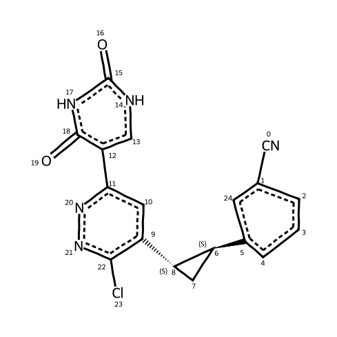 N#Cc1cccc([C@H]2C[C@@H]2c2cc(-c3c[nH]c(=O)[nH]c3=O)nnc2Cl)c1